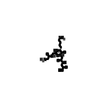 NCCCC[C@@H](NC(=O)CNC(=O)CN)C(=O)NCC(=O)NCC(=O)O